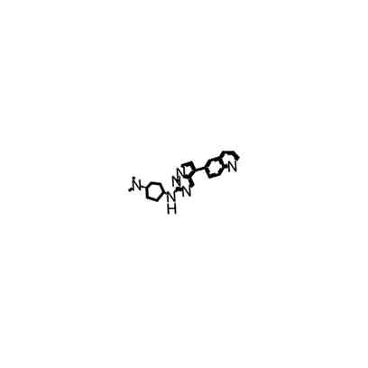 CN(C)[C@H]1CC[C@@H](Nc2ncc3c(-c4ccc5ncccc5c4)ccn3n2)CC1